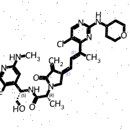 C=C1C(=O)N([C@H](C)C(=O)N[C@H](CO)c2cc(NC)ncc2F)C/C1=C/C=C(\C)c1nc(NC2CCOCC2)ncc1Cl